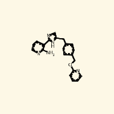 Nc1ncccc1-c1ncc(Cc2ccc(COc3ccccn3)cc2)[nH]1